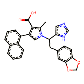 Cc1c(C(=O)O)c(-c2cccc3ccccc23)cn1C(Cc1ccc2c(c1)OCO2)c1cnc[nH]1